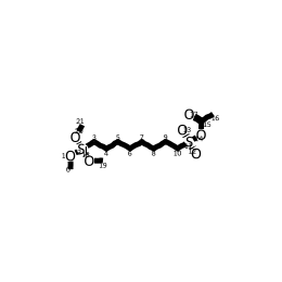 CO[Si](CCCCCCCCS(=O)(=O)OC(C)=O)(OC)OC